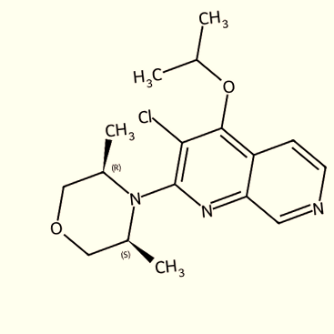 CC(C)Oc1c(Cl)c(N2[C@H](C)COC[C@@H]2C)nc2cnccc12